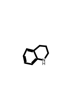 [c]1ccc2c(c1)NCCC2